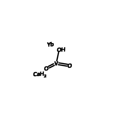 [CaH2].[O]=[V](=[O])[OH].[Yb]